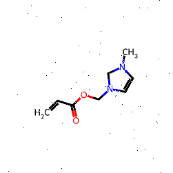 C=CC(=O)OCN1C=CN(C)C1